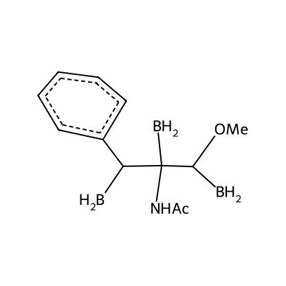 BC(OC)C(B)(NC(C)=O)C(B)c1ccccc1